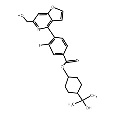 CC(C)(O)C1CCC(OC(=O)c2ccc(-c3nc(CO)cc4occc34)c(F)c2)CC1